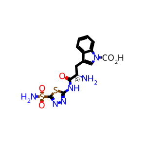 N[C@@H](Cc1cn(C(=O)O)c2ccccc12)C(=O)Nc1nnc(S(N)(=O)=O)s1